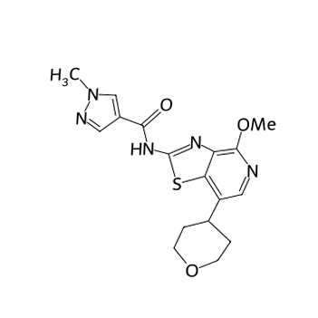 COc1ncc(C2CCOCC2)c2sc(NC(=O)c3cnn(C)c3)nc12